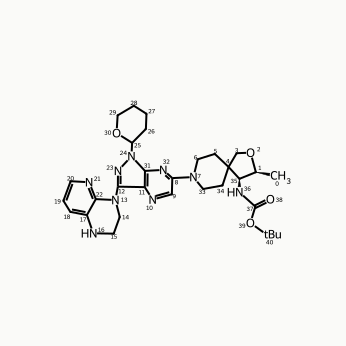 C[C@@H]1OCC2(CCN(c3cnc4c(N5CCNc6cccnc65)nn(C5CCCCO5)c4n3)CC2)[C@@H]1NC(=O)OC(C)(C)C